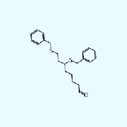 O=CCCCCC(CCSCc1ccccc1)SCc1ccccc1